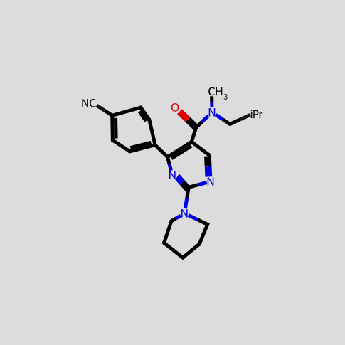 CC(C)CN(C)C(=O)c1cnc(N2CCCCC2)nc1-c1ccc(C#N)cc1